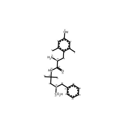 Cc1cc(O)cc(C)c1C[C@H](N)C(=O)NC(C)(C)CN(Cc1ccccc1)C(=O)O